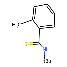 Cc1ccccc1C(=S)NC(C)(C)C